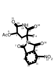 CC(=O)OC1CC(F)(N2C(=O)c3cccc([N+](=O)[O-])c3C2=O)C(=O)NC1=O